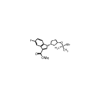 COC(=O)c1cn([C@H]2CC[C@@H](O[Si](C)(C)C(C)(C)C)C2)c2ccc(F)cc12